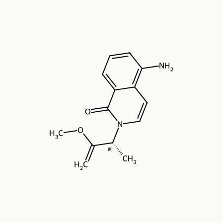 C=C(OC)[C@@H](C)n1ccc2c(N)cccc2c1=O